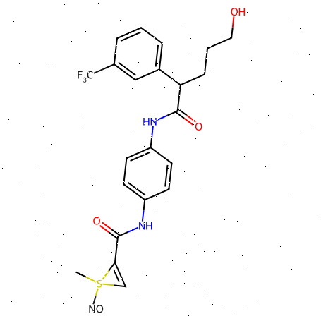 CS1(N=O)C=C1C(=O)Nc1ccc(NC(=O)C(CCCO)c2cccc(C(F)(F)F)c2)cc1